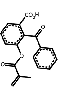 C=C(C)C(=O)Oc1cccc(C(=O)O)c1C(=O)c1ccccc1